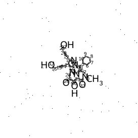 CN1C[C@H]([C@@H](c2ccccc2)n2cc(C#CCO)c(C#CCO)n2)n2ncc(=O)c(O)c2C1=O